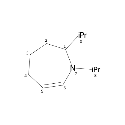 CC(C)C1CCCC=CN1C(C)C